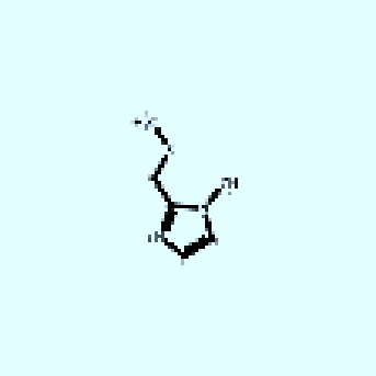 [CH2]SCc1nccn1C